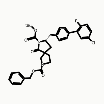 CC(C)(C)OC(=O)N1C(=O)C2(CCN(C(=O)OCc3ccccc3)C2)C[C@H]1Cc1ccc(-c2cc(Cl)ccc2F)cc1